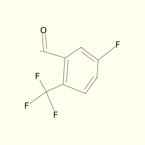 O=[C]c1cc(F)ccc1C(F)(F)F